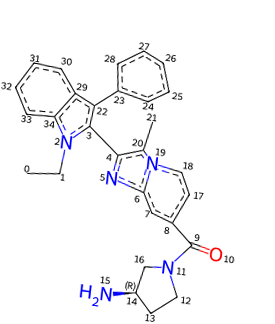 CCn1c(-c2nc3cc(C(=O)N4CC[C@@H](N)C4)ccn3c2C)c(-c2ccccc2)c2ccccc21